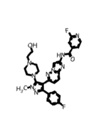 Cn1nc(-c2ccc(F)cc2)c(-c2ccc3nc(NC(=O)c4ccnc(F)c4)cn3n2)c1N1CCN(CCO)CC1